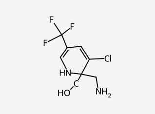 NCC1(CO)NC=C(C(F)(F)F)C=C1Cl